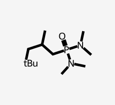 CC(CC(C)(C)C)CP(=O)(N(C)C)N(C)C